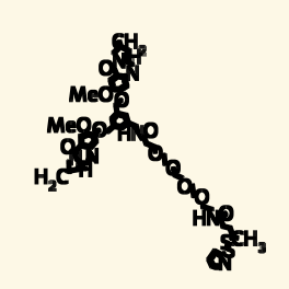 C=C1C[C@H]2C=Nc3cc(OCc4cc(CNC(=O)CCOCCOCCOCCOCCNC(=O)CCC(C)SSc5ccccn5)cc(COc5cc6c(cc5OC)C(=O)N5CC(=C)C[C@H]5C=N6)c4)c(OC)cc3C(=O)N2C1